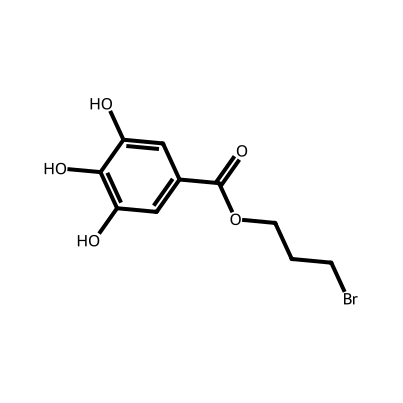 O=C(OCCCBr)c1cc(O)c(O)c(O)c1